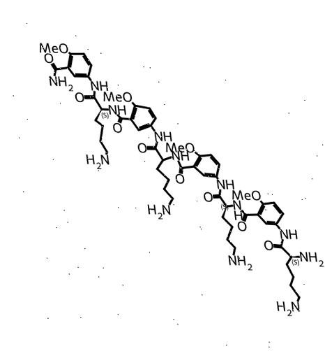 COc1ccc(NC(=O)[C@H](CCCCN)NC(=O)c2cc(NC(=O)C(CCCCN)NC(=O)c3cc(NC(=O)[C@H](CCCCN)NC(=O)c4cc(NC(=O)[C@@H](N)CCCCN)ccc4OC)ccc3OC)ccc2OC)cc1C(N)=O